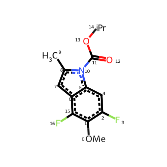 COc1c(F)cc2c(cc(C)n2C(=O)OC(C)C)c1F